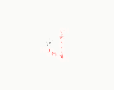 CC(C)CCC[C@@H](C)[C@H]1CC[C@H]2[C@@H]3CC=C4CC(O)(C(CO)OCCOCCO)CC[C@]4(C)[C@H]3CC[C@]12C.OCCOCCOCCOCCOCCOCCO